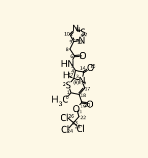 CC1S[C@@H]2C(NC(=O)Cc3cnsn3)C(=O)N2C=C1C(=O)OCC(Cl)(Cl)Cl